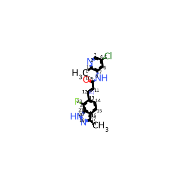 Cc1ncc(Cl)cc1NC(=O)/C=C/c1ccc2c(C)n[nH]c2c1F